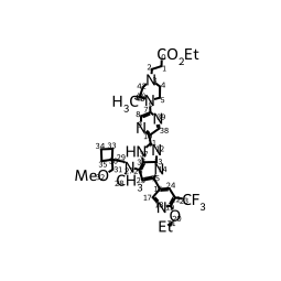 CCOC(=O)CCN1CCN(c2cnc(-c3nc4nc(-c5cnc(OCC)c(C(F)(F)F)c5)cc(N(C)CC5(COC)CCC5)c4[nH]3)cn2)[C@H](C)C1